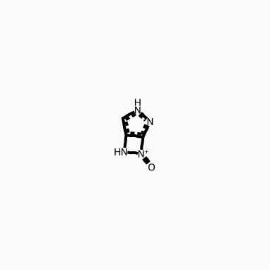 O=[N+]1Nc2c[nH]nc21